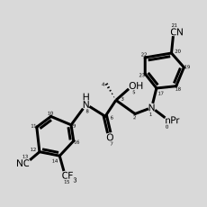 CCCN(C[C@](C)(O)C(=O)Nc1ccc(C#N)c(C(F)(F)F)c1)c1ccc(C#N)cc1